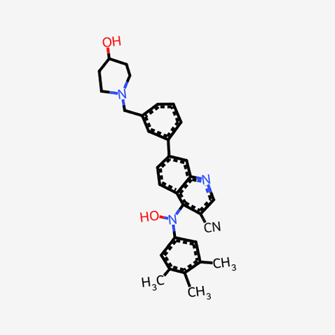 Cc1cc(N(O)c2c(C#N)cnc3cc(-c4cccc(CN5CCC(O)CC5)c4)ccc23)cc(C)c1C